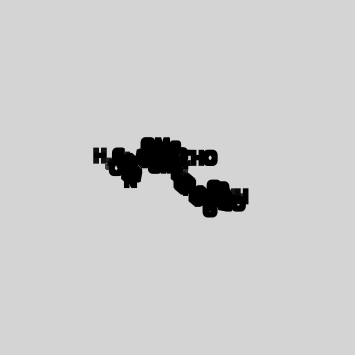 COc1cc(-c2cn(C)c(=O)c3cnccc23)cc(OC)c1CN1CCC(CCN2CCN(c3ccc4c(c3)C(=O)N(C3CCC(=O)NC3=O)C4=O)CC2)CC1.O=CO